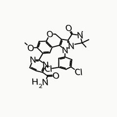 COc1cc2c(cc1-c1nccc(C(N)=O)n1)-c1c(c(C(=O)N(C)C(C)(C)C)nn1-c1cc(Cl)cc(Cl)c1)CO2